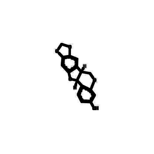 Oc1ccc2c(c1)OC[C@H]1c3cc4c(cc3O[C@@H]21)OCO4